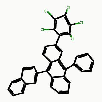 Clc1c(Cl)c(Cl)c(-c2ccc3c(-c4ccc5ccccc5c4)c4ccccc4c(-c4ccccc4)c3c2)c(Cl)c1Cl